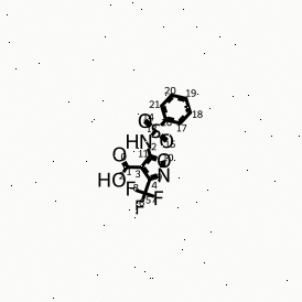 O=C(O)c1c(C(F)(F)F)noc1NS(=O)(=O)c1ccccc1